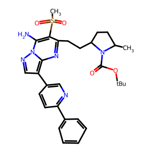 CC1CCC(CCc2nc3c(-c4ccc(-c5ccccc5)nc4)cnn3c(N)c2S(C)(=O)=O)N1C(=O)OC(C)(C)C